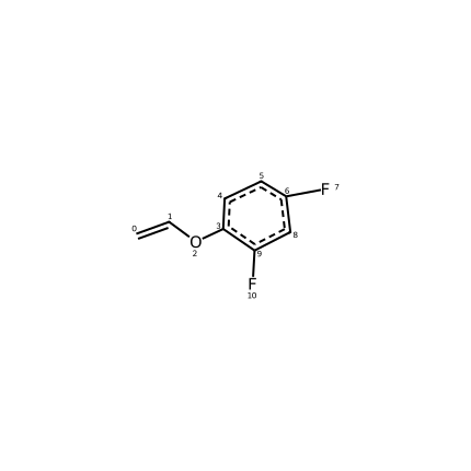 C=COc1ccc(F)cc1F